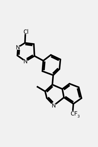 Cc1cnc2c(C(F)(F)F)cccc2c1-c1cccc(-c2cc(Cl)ncn2)c1